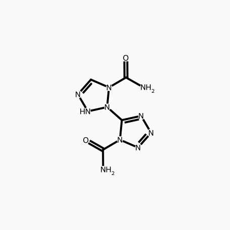 NC(=O)N1C=NNN1c1nnnn1C(N)=O